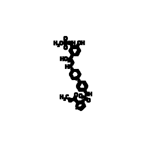 COC(=O)c1sccc1S(=O)(=O)Nc1ccc(N2CCC(NC[C@@H](O)c3ccc(O)c(NS(C)(=O)=O)c3)CC2)cc1